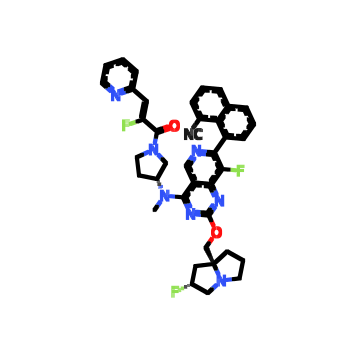 CN(c1nc(OC[C@@]23CCCN2C[C@H](F)C3)nc2c(F)c(-c3cccc4cccc(C#N)c34)ncc12)[C@@H]1CCN(C(=O)/C(F)=C/c2ccccn2)C1